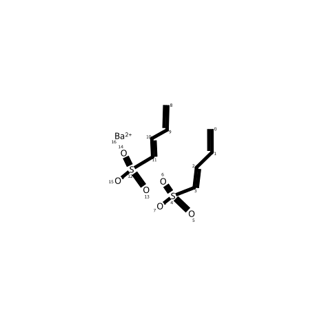 C=CC=CS(=O)(=O)[O-].C=CC=CS(=O)(=O)[O-].[Ba+2]